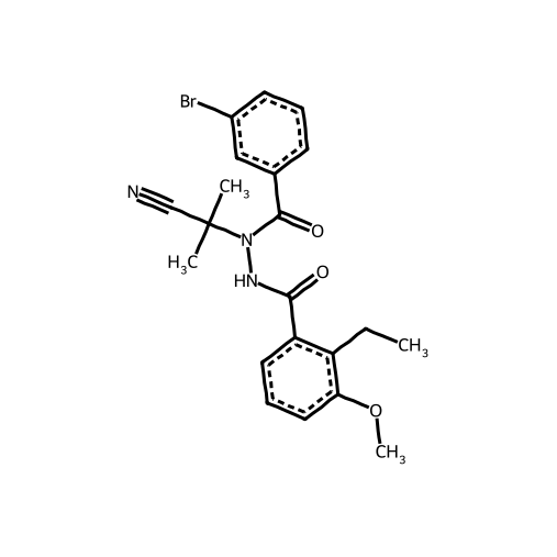 CCc1c(OC)cccc1C(=O)NN(C(=O)c1cccc(Br)c1)C(C)(C)C#N